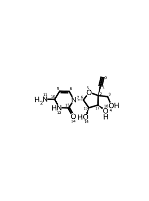 C#C[C@]1(CO)O[C@@H](N2C=CC(N)NC2=O)[C@H](O)[C@@H]1O